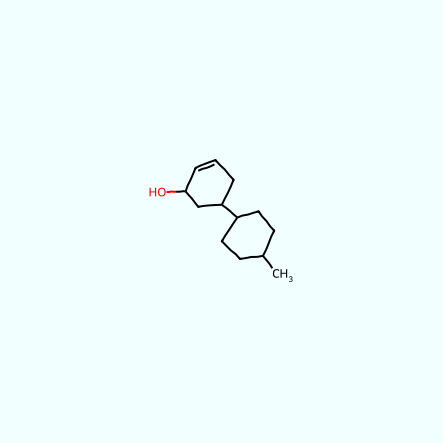 CC1CCC(C2CC=CC(O)C2)CC1